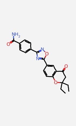 CCC1(CC)CC(=O)c2cc(-c3nc(-c4ccc(C(N)=O)cc4)no3)ccc2O1